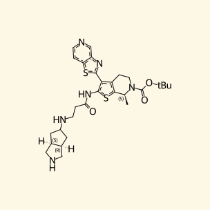 C[C@H]1c2sc(NC(=O)CCNC3C[C@H]4CNC[C@H]4C3)c(-c3nc4cnccc4s3)c2CCN1C(=O)OC(C)(C)C